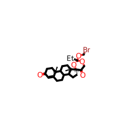 CCC1(OCBr)OCC(=O)[C@]2(CCC3C4CCC5=CC(=O)CC[C@]5(C)C4CC[C@@]32C)O1